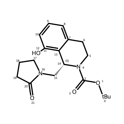 CC(C)(C)OC(=O)N1CCc2cccc(O)c2[C@H]1CN1CCCC1=O